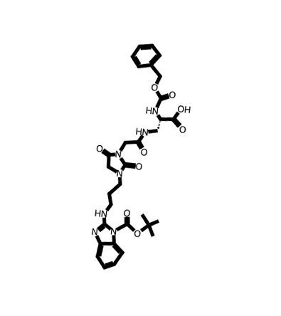 CC(C)(C)OC(=O)n1c(NCCCN2CC(=O)N(CC(=O)NC[C@H](NC(=O)OCc3ccccc3)C(=O)O)C2=O)nc2ccccc21